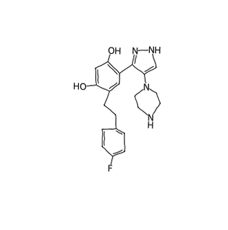 Oc1cc(O)c(-c2n[nH]cc2N2CCNCC2)cc1CCc1ccc(F)cc1